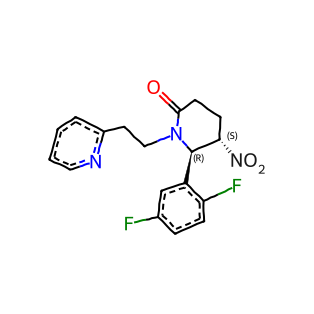 O=C1CC[C@H]([N+](=O)[O-])[C@@H](c2cc(F)ccc2F)N1CCc1ccccn1